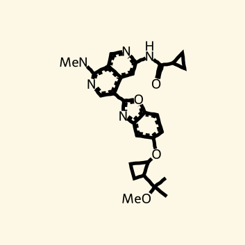 CNc1ncc(-c2nc3cc(OC4CCC4C(C)(C)OC)ccc3o2)c2cc(NC(=O)C3CC3)ncc12